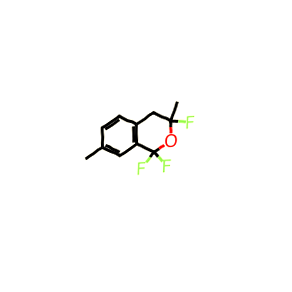 Cc1ccc2c(c1)C(F)(F)OC(C)(F)C2